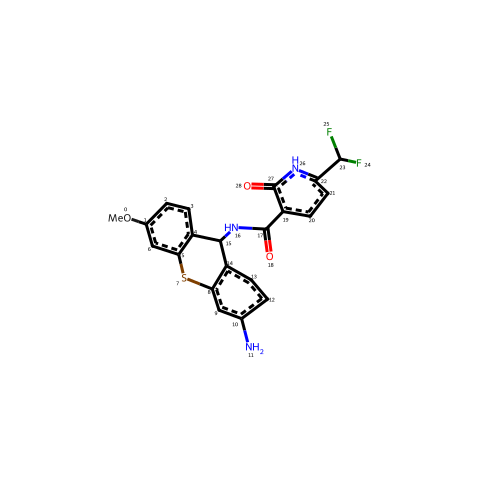 COc1ccc2c(c1)Sc1cc(N)ccc1C2NC(=O)c1ccc(C(F)F)[nH]c1=O